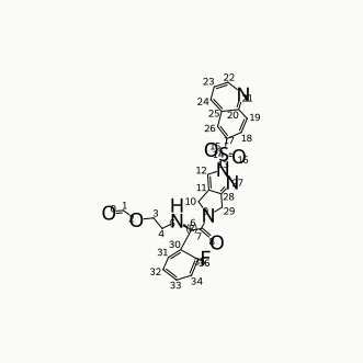 O=COCCN[C@@H](C(=O)N1Cc2cn(S(=O)(=O)c3ccc4ncccc4c3)nc2C1)c1ccccc1F